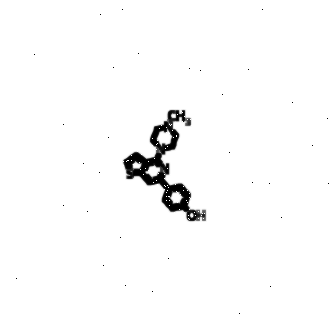 CN1CCN(c2nc(-c3ccc(O)cc3)cc3sccc23)CC1